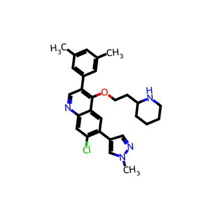 Cc1cc(C)cc(-c2cnc3cc(Cl)c(-c4cnn(C)c4)cc3c2OCCC2CCCCN2)c1